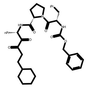 CCC[C@H](NC(=O)[C@@H]1CCCN1C(=O)[C@H](CC(C)C)NC(=O)OCc1ccccc1)C(=O)C(=O)CCC1CCCCC1